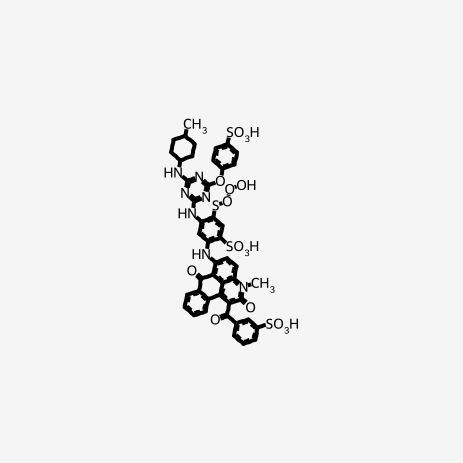 CC1CCC(Nc2nc(Nc3cc(Nc4ccc5c6c4C(=O)c4ccccc4-c6c(C(=O)c4cccc(S(=O)(=O)O)c4)c(=O)n5C)c(S(=O)(=O)O)cc3SOOO)nc(Oc3ccc(S(=O)(=O)O)cc3)n2)CC1